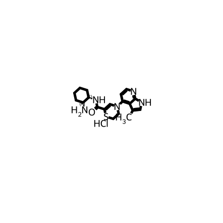 Cc1c[nH]c2nccc(N3C=C(C(=O)N[C@H]4CCCC[C@H]4N)SCC3)c12.Cl